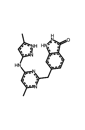 Cc1cc(Nc2cc(C)[nH]n2)nc(Cc2ccc3c(=O)[nH][nH]c3c2)n1